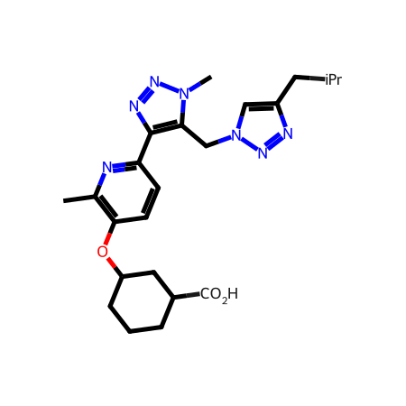 Cc1nc(-c2nnn(C)c2Cn2cc(CC(C)C)nn2)ccc1OC1CCCC(C(=O)O)C1